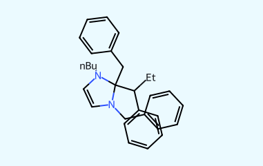 CCCCN1C=CN(Cc2ccccc2)C1(Cc1ccccc1)C(CC)c1ccccc1